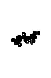 C=C/C(=C\C=C1/C[C@@H](O)OC1=O)C(=O)c1ccc2c(c1)C(=O)OC2=O